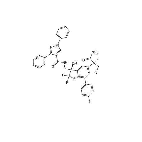 C[C@]1(C(N)=O)COc2c1cc([C@@](O)(CNC(=O)c1cn(-c3ccccc3)nc1-c1ccccc1)C(F)(F)F)nc2-c1ccc(F)cc1